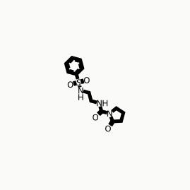 O=C1CCCN1C(=O)NCCNS(=O)(=O)c1ccccc1